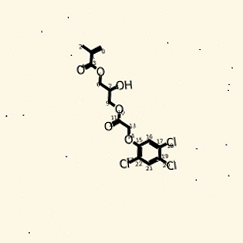 C=C(C)C(=O)OCC(O)COC(=O)COc1cc(Cl)c(Cl)cc1Cl